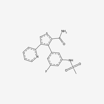 CS(=O)(=O)Nc1cc(F)cc(-c2c(-c3ccccn3)csc2C(N)=O)c1